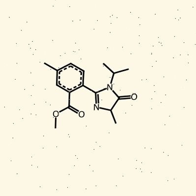 COC(=O)c1cc(C)ccc1C1=NC(C)C(=O)N1C(C)C